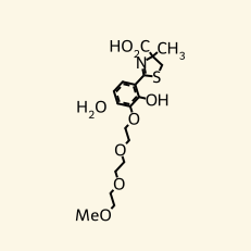 COCCOCCOCCOc1cccc(C2=NC(C)(C(=O)O)CS2)c1O.O